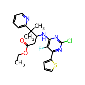 CCOC(=O)CC(Nc1nc(Cl)nc(-c2cccs2)c1F)C(C)(C)c1ccccn1